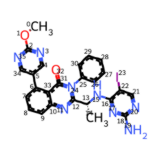 COc1ncc(-c2cccc3nc([C@@H](C)Nc4nc(N)ncc4I)n(-c4ccccc4)c(=O)c23)cn1